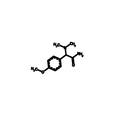 COc1ccc(C(C(N)=O)N(C)C)cc1